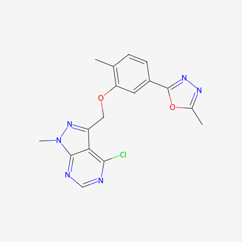 Cc1nnc(-c2ccc(C)c(OCc3nn(C)c4ncnc(Cl)c34)c2)o1